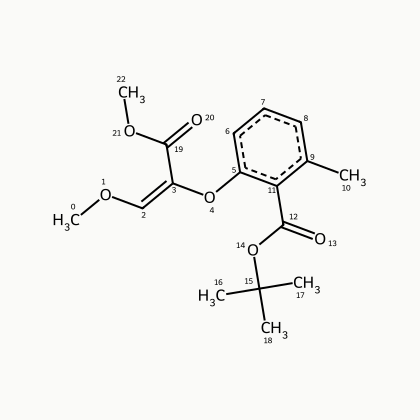 CO/C=C(/Oc1cccc(C)c1C(=O)OC(C)(C)C)C(=O)OC